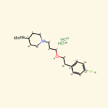 CNC1CCN(CCCOCCc2ccc(F)cc2)CC1.Cl.Cl